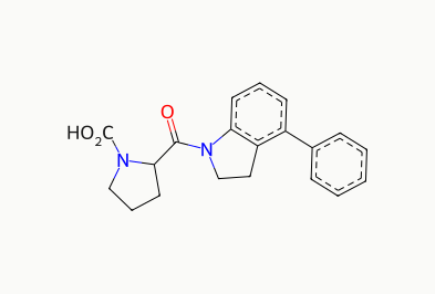 O=C(C1CCCN1C(=O)O)N1CCc2c(-c3ccccc3)cccc21